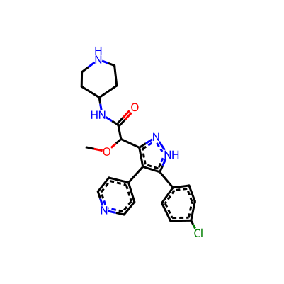 COC(C(=O)NC1CCNCC1)c1n[nH]c(-c2ccc(Cl)cc2)c1-c1ccncc1